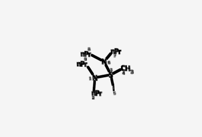 CCCN(CCC)S(C)(I)N(CCC)CCC